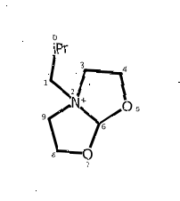 CC(C)C[N+]12CCOC1OCC2